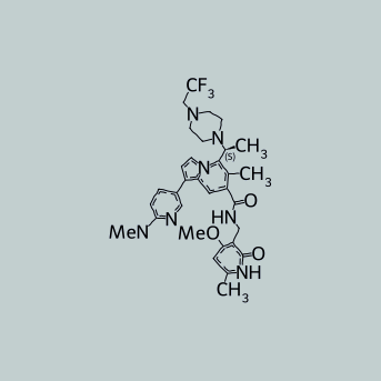 CNc1ccc(-c2ccn3c([C@H](C)N4CCN(CC(F)(F)F)CC4)c(C)c(C(=O)NCc4c(OC)cc(C)[nH]c4=O)cc23)cn1